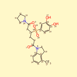 O=C(CC(CCC(=O)N1CCc2c1cccc2C(F)(F)F)S(=O)(=O)c1ccc(O)c(O)c1)N1CCCC1